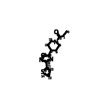 CCC(=O)N1CCC(c2nc(-c3cccs3)no2)CC1